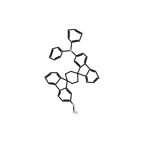 COc1ccc2c(c1)C1(CCC3(CC1)c1ccccc1-c1ccc(N(c4ccccc4)c4ccccc4)cc13)c1ccccc1-2